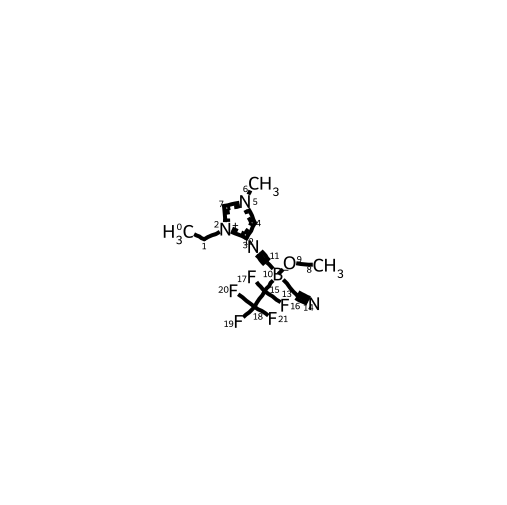 CC[n+]1ccn(C)c1.CO[B-](C#N)(C#N)C(F)(F)C(F)(F)F